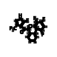 CN(C(=O)c1c(C(F)(F)F)n[nH]c1F)c1ccccc1-c1cc(F)c(F)cc1F